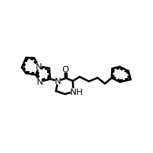 O=C1C(CCCCc2ccccc2)NCCN1c1cn2ccccc2n1